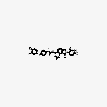 CC(C)Oc1c(COC(=O)Nc2ccc(Oc3ccc(F)c(F)c3)cc2)ccc2c1C(=O)N(C1CCC(=O)NC1=O)C2